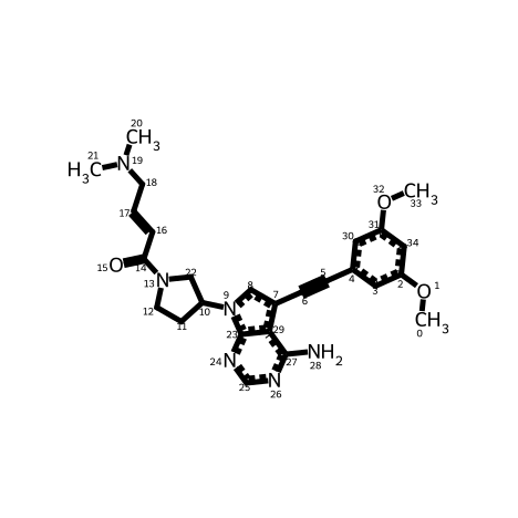 COc1cc(C#Cc2cn(C3CCN(C(=O)/C=C/CN(C)C)C3)c3ncnc(N)c23)cc(OC)c1